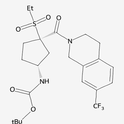 CCS(=O)(=O)[C@]1(C(=O)N2CCc3ccc(C(F)(F)F)cc3C2)CC[C@@H](NC(=O)OC(C)(C)C)C1